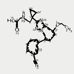 COc1ccc(-c2cccc(C#N)c2)n2nc(C3(CNC(=O)O)CC3)nc12